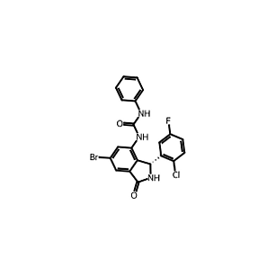 O=C(Nc1ccccc1)Nc1cc(Br)cc2c1[C@H](c1cc(F)ccc1Cl)NC2=O